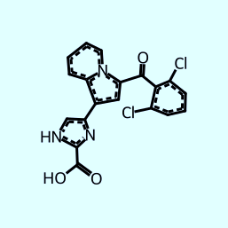 O=C(O)c1nc(-c2cc(C(=O)c3c(Cl)cccc3Cl)n3ccccc23)c[nH]1